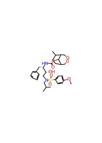 COc1ccc(S(=O)(=O)N(CC(C)C)C[C@@H](O)[C@H](Cc2ccccc2)NC(=O)OC2C3CCC(C)C2COOC3)cc1